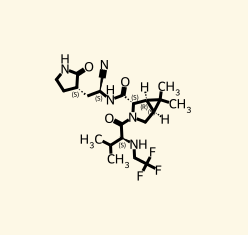 CC(C)[C@H](NCC(F)(F)F)C(=O)N1C[C@H]2[C@@H]([C@H]1C(=O)N[C@H](C#N)C[C@@H]1CCNC1=O)C2(C)C